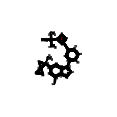 CC(C)(O)C12CC(C1)N(c1cc(-n3ncc4c(F)cc([C@]5(C)CC56CC6)cc43)ncn1)C2